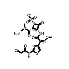 CO/N=C(\C(=O)N[C@H]1C(=O)N(S(=O)(=O)[O-])[C@H]1C(=O)N(C)C)c1csc(NC(=O)CCl)n1.[Na+]